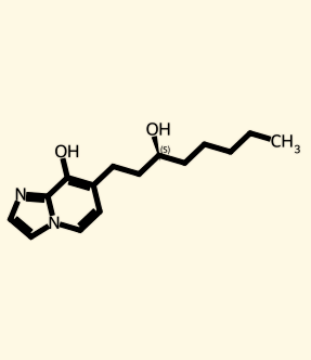 CCCCC[C@H](O)CCc1ccn2ccnc2c1O